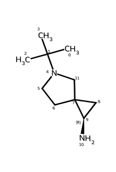 CC(C)(C)N1CCC2(C[C@H]2N)C1